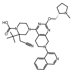 CN1CCC[C@H]1COc1nc2c(c(N3CCN(C(=O)O)C(CC#N)(C(C)(C)C)C3)n1)CCN(c1cncc3ccccc13)C2